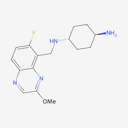 COc1cnc2ccc(F)c(CN[C@H]3CC[C@H](N)CC3)c2n1